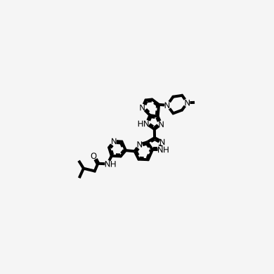 CC(C)CC(=O)Nc1cncc(-c2ccc3[nH]nc(-c4nc5c(N6CCN(C)CC6)ccnc5[nH]4)c3n2)c1